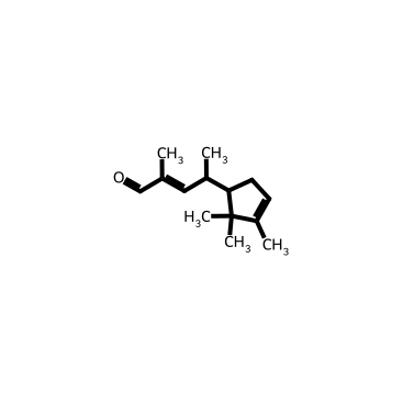 CC1=CCC(C(C)/C=C(\C)C=O)C1(C)C